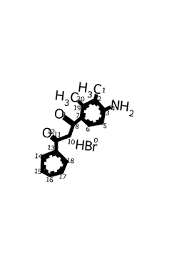 Br.Cc1c(N)ccc(C(=O)CC(=O)c2ccccc2)c1C